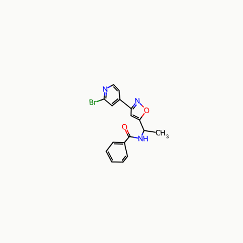 CC(NC(=O)c1ccccc1)c1cc(-c2ccnc(Br)c2)no1